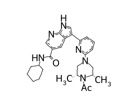 CC(=O)N1[C@H](C)CN(c2cccc(-c3c[nH]c4ncc(C(=O)NC5CCCCC5)cc34)n2)C[C@@H]1C